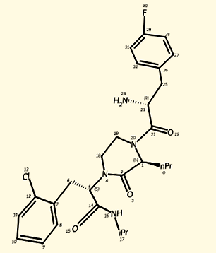 CCC[C@H]1C(=O)N([C@@H](Cc2ccccc2Cl)C(=O)NC(C)C)CCN1C(=O)[C@H](N)Cc1ccc(F)cc1